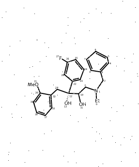 CCN(Cc1ccccc1)CC(O)[C@@](O)(Cc1ccccc1OC)c1cccc(F)c1